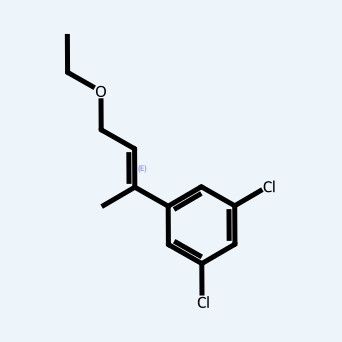 CCOC/C=C(\C)c1cc(Cl)cc(Cl)c1